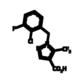 O=C(O)c1cnn(Cc2cccc(F)c2Cl)c1C(F)(F)F